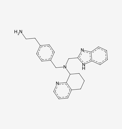 NCCc1ccc(CN(Cc2nc3ccccc3[nH]2)C2CCCc3cccnc32)cc1